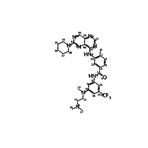 Cc1ccc(C(=O)Nc2cc(N(C)CCN(C)C)cc(C(F)(F)F)c2)cc1Nc1ncnc2cnc(N3CCCCC3)nc12